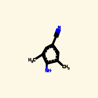 Cc1cc(C#N)cc(C)c1[NH]